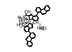 CC1=Cc2c(-c3cccc4c3ccc3ccccc34)ccc(C)c2[CH]1[Zr]([CH3])([CH3])(=[SiH2])[CH]1C(C(C)C)=Cc2c(-c3cccc4c3ccc3ccccc34)cccc21.Cl.Cl